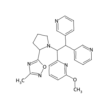 COc1cccc(C(C(c2cccnc2)c2cccnc2)N2CCCC2c2nc(C)no2)n1